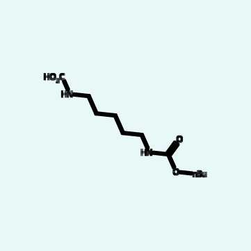 CCCCOC(=O)NCCCCCNC(=O)O